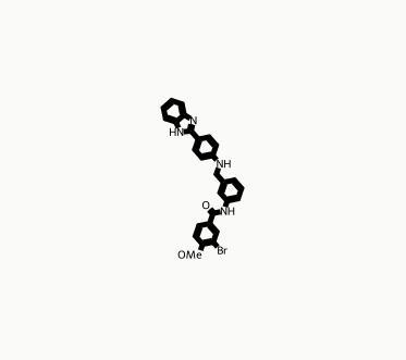 COc1ccc(C(=O)Nc2cccc(CNc3ccc(-c4nc5ccccc5[nH]4)cc3)c2)cc1Br